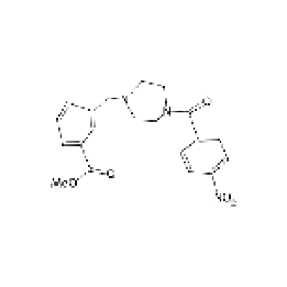 COC(=O)c1cccc(CN2CCN(C(=O)c3ccc([N+](=O)[O-])cc3)CC2)c1